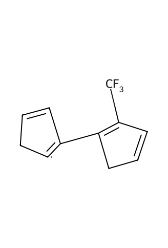 FC(F)(F)C1=C(C2=[C]CC=C2)CC=C1